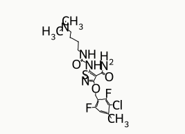 Cc1cc(F)c(COc2nsc(NC(=O)NCCCCN(C)C)c2C(N)=O)c(F)c1Cl